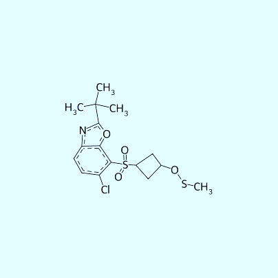 CSOC1CC(S(=O)(=O)c2c(Cl)ccc3nc(C(C)(C)C)oc23)C1